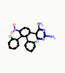 Nc1ncc(-c2ccc([N+](=O)[O-])c(-c3ccccc3Cl)c2-c2ccccc2Cl)c(N)n1